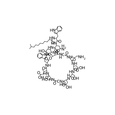 CC(C)CCCCCCCCC(=O)NC(Cc1c[nH]c2ccccc12)C(=O)NC(CC(N)=O)C(=O)NC(CC(=O)O)C(=O)NC1C(=O)NCC(=O)NC(CCCN)C(=O)NC(CC(=O)O)C(=O)NC(CO)C(=O)NC(CC(=O)O)C(=O)NCC(=O)NC(CO)C(=O)NC(C(C)CC(=O)O)C(=O)NC(Cc2c[nH]c3ccccc23)C(=O)OC1C